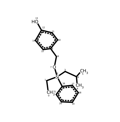 CC[Si](CC(C)C)(OCc1ccc(O)cc1)c1ccccc1